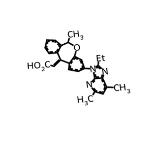 CCc1nc2c(C)cc(C)nc2n1-c1ccc2c(c1)OC(C)c1ccccc1C2=CC(=O)O